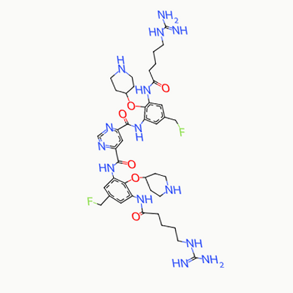 N=C(N)NCCCCC(=O)Nc1cc(CF)cc(NC(=O)c2cc(C(=O)Nc3cc(CF)cc(NC(=O)CCCCNC(=N)N)c3OC3CCNCC3)ncn2)c1OC1CCNCC1